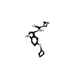 O=C(Nc1c[nH]c2ccc(OC3CCC3)cc12)C1CNC1